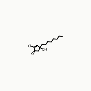 CCCCCCCCC1(O)C=C(Cl)C(=O)C1